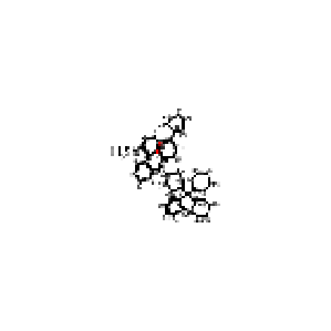 [SiH3]c1ccccc1-c1ccccc1N(c1ccc(C2=CCCCC2)cc1)C1CCC(C2(C3=CCCCC3)c3ccccc3C3CCCCC32)CC1